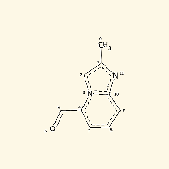 Cc1cn2c(C=O)cccc2n1